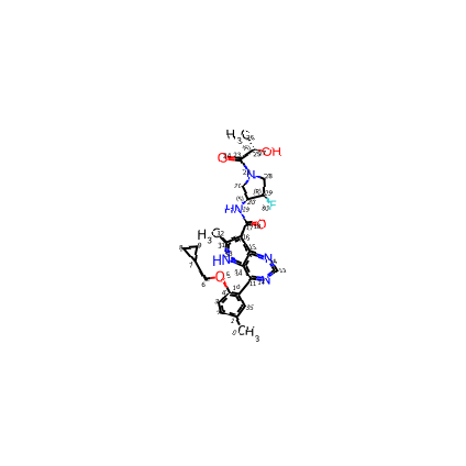 Cc1ccc(OCC2CC2)c(-c2ncnc3c(C(=O)N[C@H]4CN(C(=O)[C@H](C)O)C[C@H]4F)c(C)[nH]c23)c1